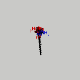 CCCCCCCCC=CCCCCCCCC(=O)OC(C)c1nc2c(N)nc(P(=O)=O)nc2n1CC(CO)OCP(=O)(O)O